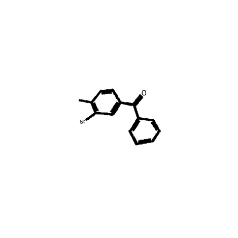 Cc1ccc(C(=O)c2ccccc2)cc1Br